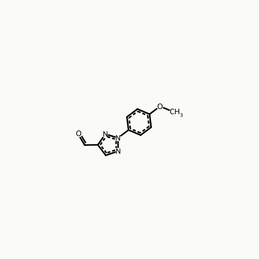 COc1ccc(-n2ncc(C=O)n2)cc1